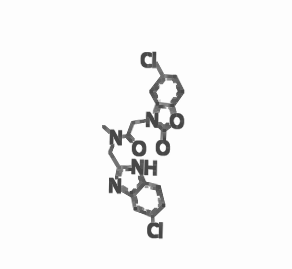 CN(Cc1nc2cc(Cl)ccc2[nH]1)C(=O)Cn1c(=O)oc2ccc(Cl)cc21